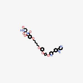 Cn1c2ccncc2c2ccc(-c3ccc(OC4CC(Oc5cccc(OCCCCCCOc6ccc7c(c6)C(=O)N(C6CCC(=O)NC6=O)C7=O)c5)C4)nc3)cc21